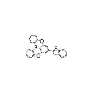 c1ccc2c(c1)Oc1cc(-c3cc4ccccc4s3)cc3c1B2c1ccccc1O3